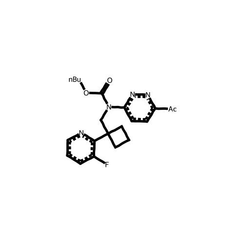 CCCCOC(=O)N(CC1(c2ncccc2F)CCC1)c1ccc(C(C)=O)nn1